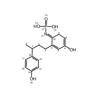 CC(CCC1=CC(O)=CCC1=NP(=O)(O)O)c1ccc(O)cc1